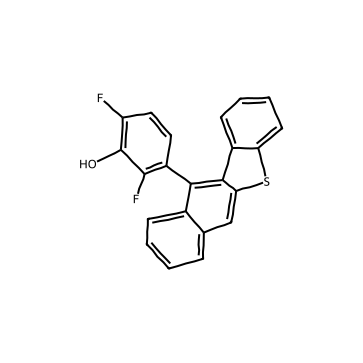 Oc1c(F)ccc(-c2c3ccccc3cc3sc4ccccc4c23)c1F